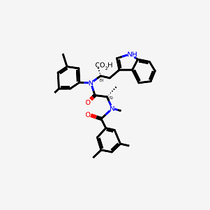 Cc1cc(C)cc(C(=O)N(C)[C@@H](C)C(=O)N(c2cc(C)cc(C)c2)[C@@H](Cc2c[nH]c3ccccc23)C(=O)O)c1